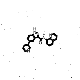 O=C(Nc1cccc2cccnc12)c1n[nH]c2ccc(-c3cccnc3)cc12